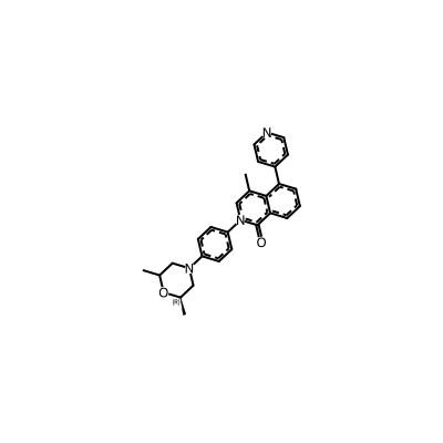 Cc1cn(-c2ccc(N3CC(C)O[C@H](C)C3)cc2)c(=O)c2cccc(-c3ccncc3)c12